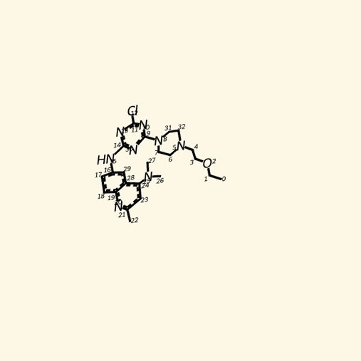 CCOCCN1CCN(c2nc(Cl)nc(Nc3ccc4nc(C)cc(N(C)C)c4c3)n2)CC1